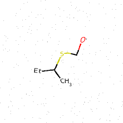 CCC(C)SC[O]